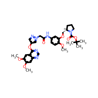 COc1cc2ncnc(Oc3cnn(CC(=O)Nc4ccc(OC)c(OC[C@@H]5CCCN5C(=O)OC(C)(C)C)c4)c3)c2cc1OC